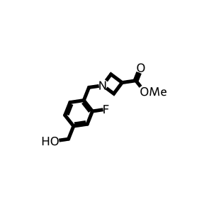 COC(=O)C1CN(Cc2ccc(CO)cc2F)C1